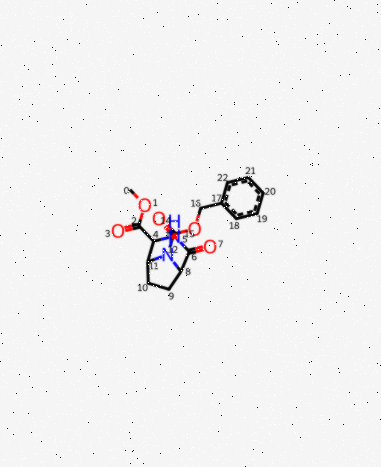 COC(=O)C1NC(=O)C2CCC1N2C(=O)OCc1ccccc1